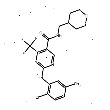 Cc1ccc(Cl)c(Nc2ncc(C(=O)NCC3CCOCC3)c(C(F)(F)F)n2)c1